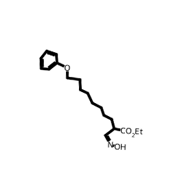 CCOC(=O)C(/C=N\O)CCCCCCCCOc1ccccc1